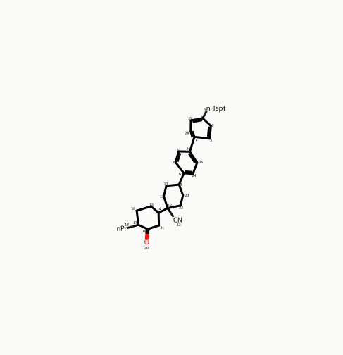 CCCCCCCc1ccc(-c2ccc(C3CCC(C#N)(C4CCC(CCC)C(=O)C4)CC3)cc2)cc1